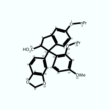 CCCOc1ccc2c(c1)CC(C(=O)O)C2(c1ccc2c(c1)OCO2)c1ccc(OC)cc1OCCC